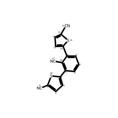 N#Cc1ccc(-c2cccc(-c3ccc(C#N)s3)c2C#N)s1